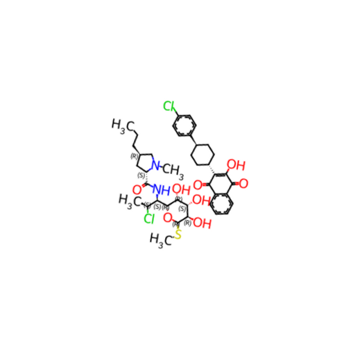 CCC[C@@H]1C[C@@H](C(=O)N[C@@H]([C@H]2O[C@H](SC)[C@H](O)[C@@H](O)[C@H]2O)[C@H](C)Cl)N(C)C1.O=C1C(O)=C([C@H]2CC[C@H](c3ccc(Cl)cc3)CC2)C(=O)c2ccccc21